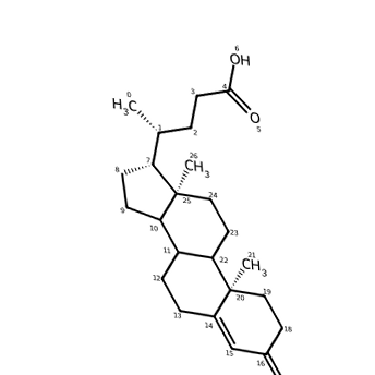 C[C@H](CCC(=O)O)[C@H]1CCC2C3CCC4=CC(=O)CC[C@]4(C)C3CC[C@@]21C